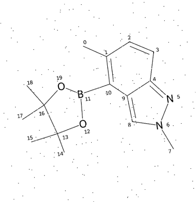 Cc1ccc2nn(C)cc2c1B1OC(C)(C)C(C)(C)O1